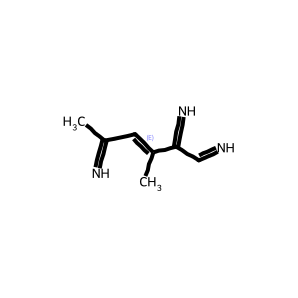 CC(=N)/C=C(\C)C(=N)C=N